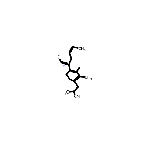 C/C=C\C/C(=C\C)C1=C(F)C(C)=C(CC(C)C#N)CC1